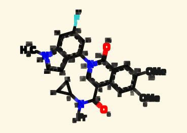 COc1cc2c(C(=O)N(C(C)C)C3CC3)cn(-c3cc(F)cc4c3ccn4C)c(=O)c2cc1OC